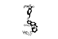 CC(C)n1nc(Cl)c2cc(COc3ccc4c(c3)CC=C(CN3CC[C@@H](C(=O)O)C3)C4(Cl)C=O)ccc21